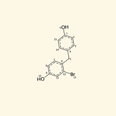 Oc1ccc(Cc2ccc(O)cc2Br)cc1